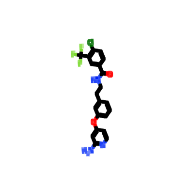 Nc1cc(Oc2cccc(CCNC(=O)c3ccc(Cl)c(C(F)(F)F)c3)c2)ccn1